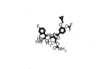 C[C@H](OC(N)=O)c1oc(-c2ccc(OC(F)F)c(OCC3CC3)c2)nc1C(=O)NC(C(=O)NO)c1ccc(F)cc1F